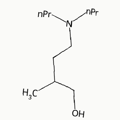 CCCN(CCC)CCC(C)CO